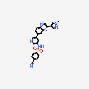 Cn1cc(-c2cnc3ccc(-c4cncc(NS(=O)(=O)c5ccc(C#N)cc5)c4)cc3n2)cn1